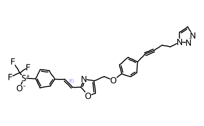 [O-][S+](c1ccc(/C=C/c2nc(COc3ccc(C#CCCn4ccnn4)cc3)co2)cc1)C(F)(F)F